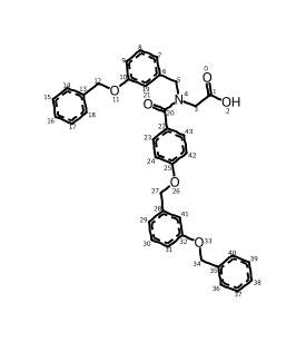 O=C(O)CN(Cc1cccc(OCc2ccccc2)c1)C(=O)c1ccc(OCc2cccc(OCc3ccccc3)c2)cc1